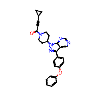 O=C(C#CC1CC1)N1CCC(n2nc(-c3ccc(Oc4ccccc4)cc3)c3cncnc32)CC1